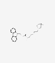 O=C(N[C@@H](COCCN1CCC(F)(F)C1)C(=O)O)OCC1c2ccccc2-c2ccccc21